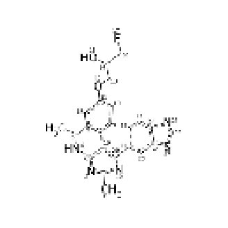 Cc1nc(NC(C)c2cccc(OCC(O)CF)c2)cc(-c2ccc3ncsc3c2)n1